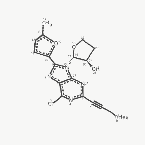 CCCCCCC#Cc1nc(Cl)c2nc(-c3ccc(C)o3)n([C@@H]3OCC[C@H]3O)c2n1